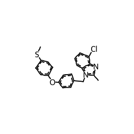 CSc1ccc(Oc2ccc(Cn3c(C)nc4c(Cl)cccc43)cc2)cc1